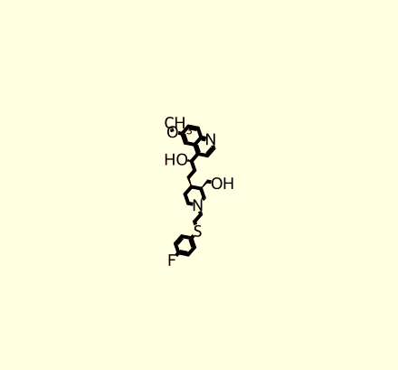 COc1ccc2nccc([C@H](O)CC[C@@H]3CCN(CCSc4ccc(F)cc4)C[C@@H]3CO)c2c1